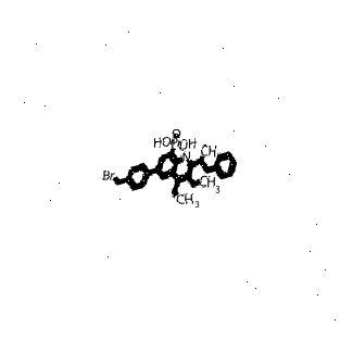 CCc1c(C(C)Cc2ccccc2)nc2c(P(=O)(O)O)cc(-c3ccc(CBr)cc3)cc2c1CC